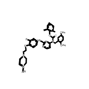 CCCN1CCN(CCOc2ccc(Nc3nccc(N(Cc4cc(OC)ccc4OC)C(=O)Oc4c(C)cccc4C)n3)cc2F)CC1